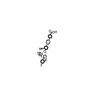 N#Cc1cc(N2CCN(c3ccc(C(=O)O)cc3)CC2)ccc1OC[C@@H]1CO[C@@](Cn2cncn2)(c2ccc(F)cc2F)C1